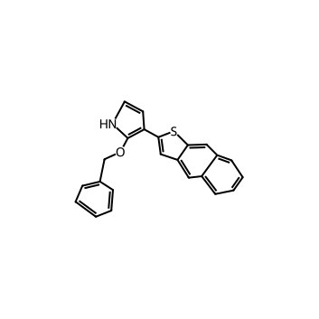 c1ccc(COc2[nH]ccc2-c2cc3cc4ccccc4cc3s2)cc1